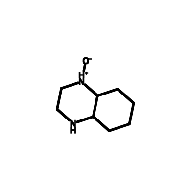 [O-][NH+]1CCNC2CCCCC21